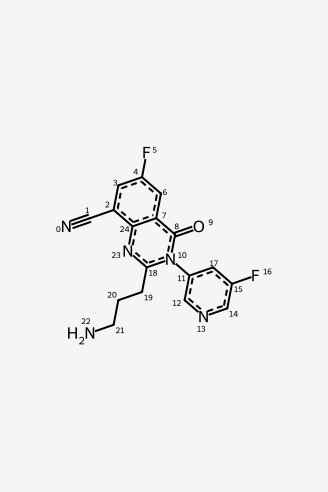 N#Cc1cc(F)cc2c(=O)n(-c3cncc(F)c3)c(CCCN)nc12